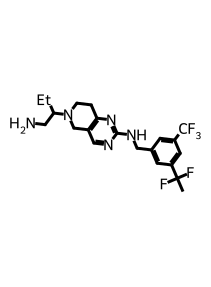 CCC(CN)N1CCc2nc(NCc3cc(C(C)(F)F)cc(C(F)(F)F)c3)ncc2C1